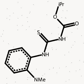 CNc1ccccc1NC(=S)NC(=O)OC(C)C